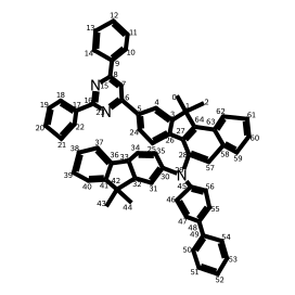 CC1(C)c2cc(-c3cc(-c4ccccc4)nc(-c4ccccc4)n3)ccc2-c2c(N(C3=CC4C(C=C3)c3ccccc3C4(C)C)c3ccc(-c4ccccc4)cc3)cc3ccccc3c21